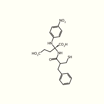 O=C(O)CC[C@@](NC(=O)C(CS)Cc1ccccc1)(Nc1ccc([N+](=O)[O-])cc1)C(=O)O